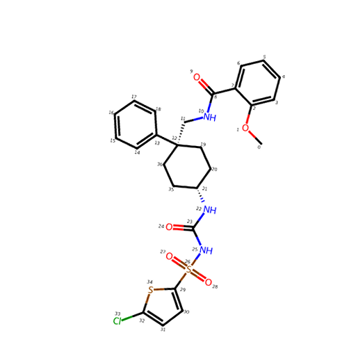 COc1ccccc1C(=O)NC[C@]1(c2ccccc2)CC[C@H](NC(=O)NS(=O)(=O)c2ccc(Cl)s2)CC1